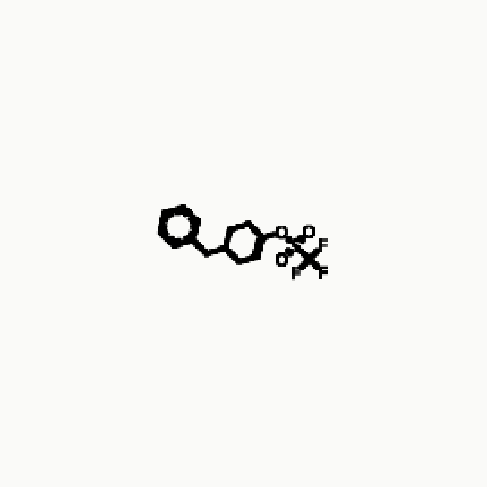 O=S(=O)(OC1=CCC(Cc2ccccc2)CC1)C(F)(F)F